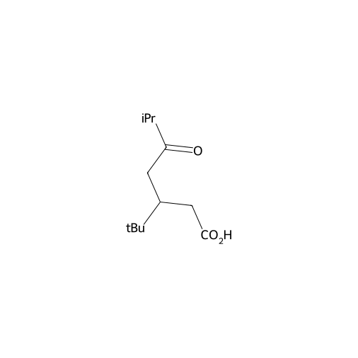 CC(C)C(=O)CC(CC(=O)O)C(C)(C)C